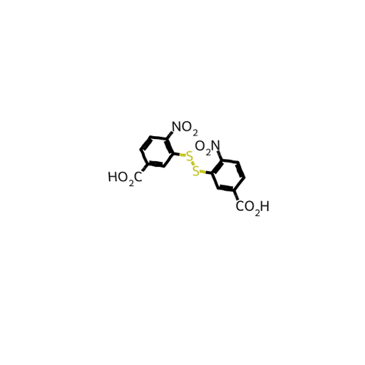 O=C(O)c1ccc([N+](=O)[O-])c(SSc2cc(C(=O)O)ccc2[N+](=O)[O-])c1